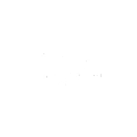 COc1ccc(OC(=O)O)c(O)c1OC